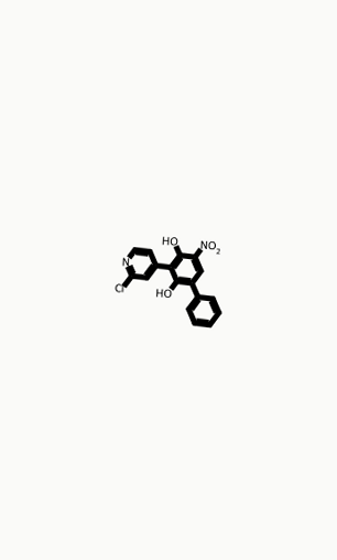 O=[N+]([O-])c1cc(-c2ccccc2)c(O)c(-c2ccnc(Cl)c2)c1O